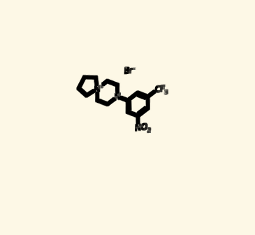 O=[N+]([O-])c1cc(N2CC[N+]3(CCCC3)CC2)cc(C(F)(F)F)c1.[Br-]